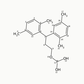 Cc1ccc(C)c(C(CCOP(O)O)c2cc(C)ccc2C)c1